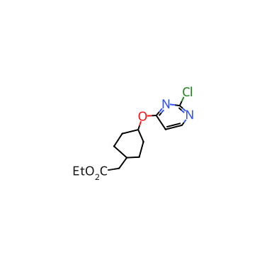 CCOC(=O)CC1CCC(Oc2ccnc(Cl)n2)CC1